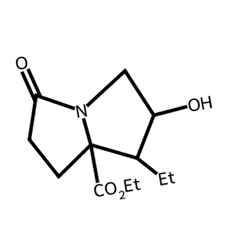 CCOC(=O)C12CCC(=O)N1CC(O)C2CC